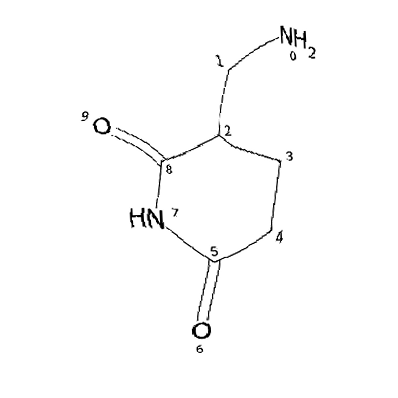 NCC1CCC(=O)NC1=O